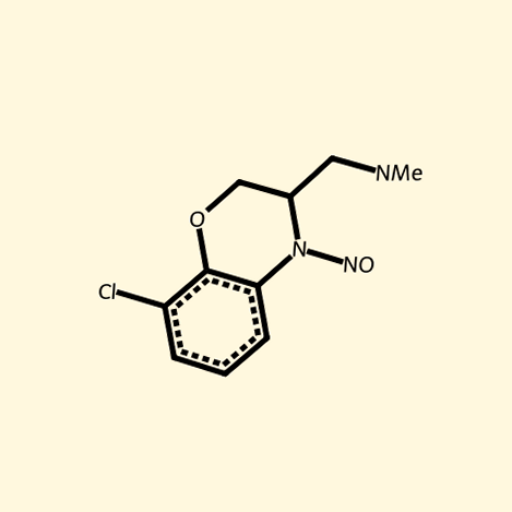 CNCC1COc2c(Cl)cccc2N1N=O